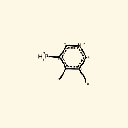 Cc1c(P)cncc1I